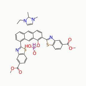 CCN1C=CN(C)C1C.COC(=O)c1ccc2sc(-c3ccc4cc5cccc(-c6nc7cc(C(=O)OC)ccc7s6)c5cc4c3O[PH](=O)O)nc2c1